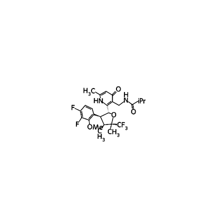 COc1c([C@H]2[C@H](c3[nH]c(C)cc(=O)c3CNC(=O)C(C)C)O[C@@](C)(C(F)(F)F)[C@H]2C)ccc(F)c1F